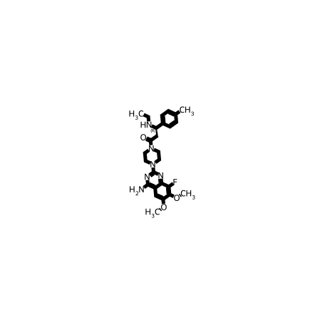 CCN[C@H](CC(=O)N1CCN(c2nc(N)c3cc(OC)c(OC)c(F)c3n2)CC1)c1ccc(C)cc1